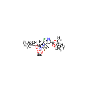 CC(C)(C)OC(=O)N(COCC[Si](C)(C)C)C1=NC(C)(c2cc(B3OC(C)(C)C(C)(C)O3)cnc2F)C2CC2(C(=O)O)S1